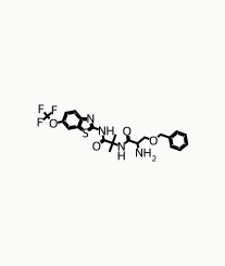 CC(C)(NC(=O)C(N)COCc1ccccc1)C(=O)Nc1nc2ccc(OC(F)(F)F)cc2s1